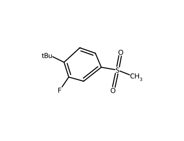 CC(C)(C)c1ccc(S(C)(=O)=O)cc1F